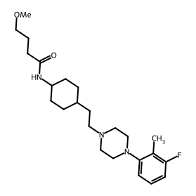 COCCCC(=O)NC1CCC(CCN2CCN(c3cccc(F)c3C)CC2)CC1